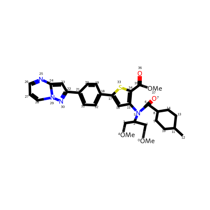 COCC(COC)N(C(=O)C1CCC(C)CC1)c1cc(-c2ccc(-c3cc4ncccn4n3)cc2)sc1C(=O)OC